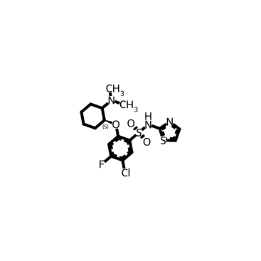 CN(C)C1CCCC[C@@H]1Oc1cc(F)c(Cl)cc1S(=O)(=O)Nc1nccs1